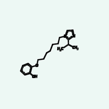 CC(C)c1nccn1CCCCCCCOc1ccccc1O